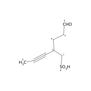 CC#CC(CCC=O)CS(=O)(=O)O